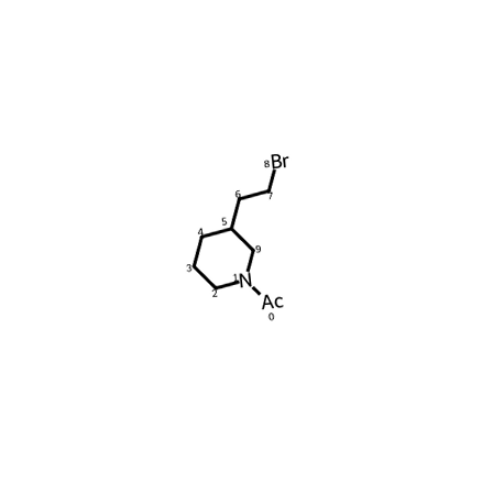 CC(=O)N1CCCC(CCBr)C1